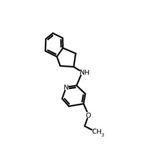 CCOc1ccnc(NC2Cc3ccccc3C2)c1